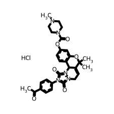 CC(=O)c1ccc(-n2c(=O)n3n(c2=O)C2C(=CC3)C(C)(C)Oc3cc(OC(=O)N4CCN(C)CC4)ccc32)cc1.Cl